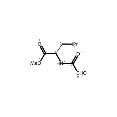 COC(=O)[C@H](CC(C)C)NC(=O)C=O